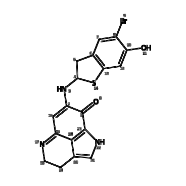 O=C1C(NC2Cc3cc(Br)c(O)cc3S2)=CC2=NCCc3c[nH]c1c32